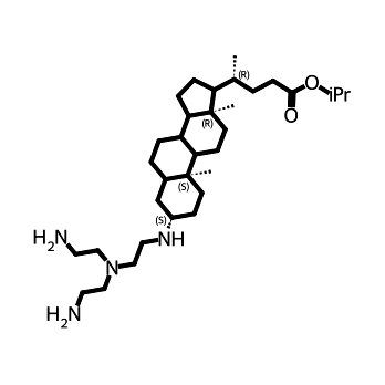 CC(C)OC(=O)CC[C@@H](C)C1CCC2C3CCC4C[C@@H](NCCN(CCN)CCN)CC[C@]4(C)C3CC[C@@]21C